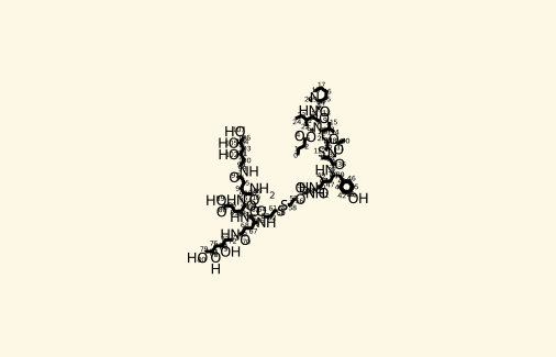 CCCC(=O)OCN(C(=O)[C@@H](NC(=O)[C@H]1CCCCN1C)C(C)CC)[C@H](C[C@@H](OC(C)=O)c1nc(C(=O)N[C@@H](Cc2ccc(O)cc2)C[C@H](C)C(=O)NNC(=O)OCCSSCCC(=O)NC(CCC(=O)NCC[C@@H](O)C[C@H](O)CO)C(=O)NC(CCC(=O)O)C(=O)NC(CCC(=O)NCC[C@@H](O)C[C@H](O)CO)C(N)=O)cs1)C(C)C